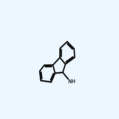 [NH]C1c2ccccc2-c2ccccc21